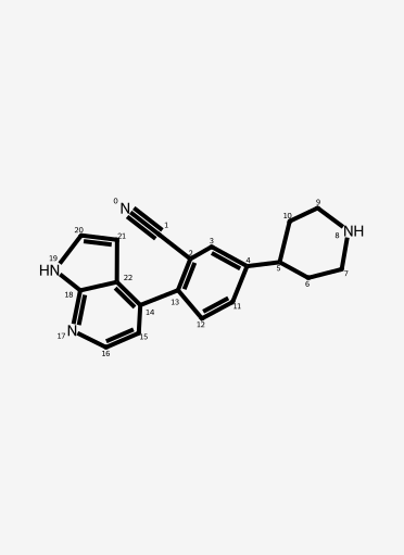 N#Cc1cc(C2CCNCC2)ccc1-c1ccnc2[nH]ccc12